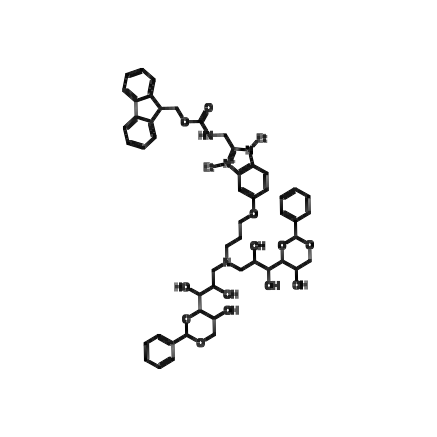 CCn1c(CNC(=O)OCC2c3ccccc3-c3ccccc32)[n+](CC)c2cc(OCCCN(CC(O)C(O)C3OC(c4ccccc4)OCC3O)CC(O)C(O)C3OC(c4ccccc4)OCC3O)ccc21